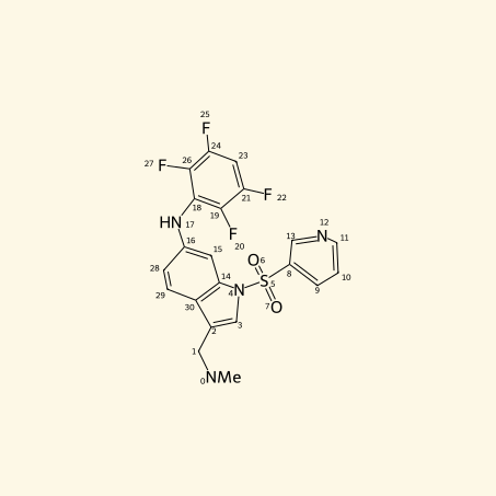 CNCc1cn(S(=O)(=O)c2cccnc2)c2cc(Nc3c(F)c(F)cc(F)c3F)ccc12